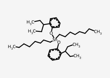 CCCCCCC[CH2][Sn]([CH2]CCCCCCC)([O]c1ccccc1C(CC)CC)[O]c1ccccc1C(CC)CC